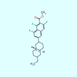 CCC1CC[C@@H]2CC(c3cc(F)c4c(F)c(C(=O)OC)c(F)cc4c3)CC[C@H]2C1